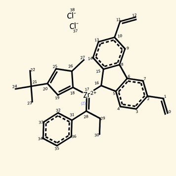 C=Cc1ccc2c(c1)-c1cc(C=C)ccc1[CH]2/[Zr+2]([C]1=CC(C(C)(C)C)=CC1C)=[C](\CC)c1ccccc1.[Cl-].[Cl-]